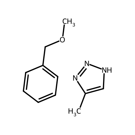 COCc1ccccc1.Cc1c[nH]nn1